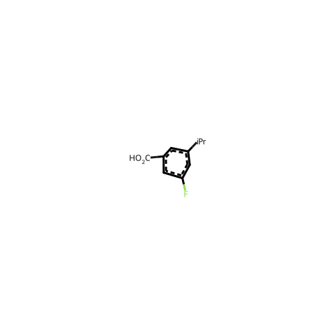 CC(C)c1cc(F)cc(C(=O)O)c1